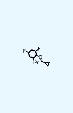 CC(C)c1cc(F)cc(F)c1OCC1CC1